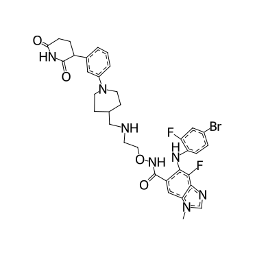 Cn1cnc2c(F)c(Nc3ccc(Br)cc3F)c(C(=O)NOCCNCC3CCN(c4cccc(C5CCC(=O)NC5=O)c4)CC3)cc21